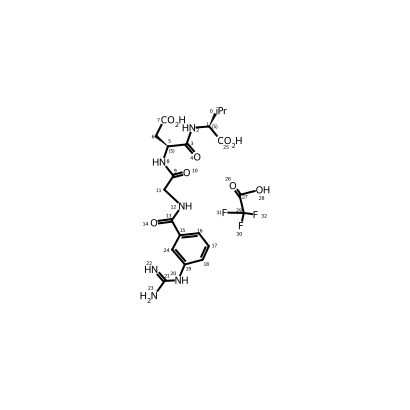 CC(C)[C@H](NC(=O)[C@H](CC(=O)O)NC(=O)CNC(=O)c1cccc(NC(=N)N)c1)C(=O)O.O=C(O)C(F)(F)F